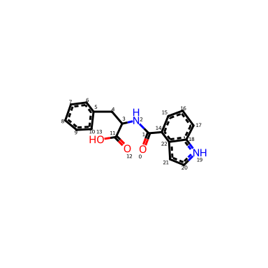 O=C(NC(Cc1ccccc1)C(=O)O)c1cccc2[nH]ccc12